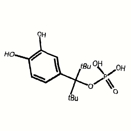 CC(C)(C)C(OP(=O)(O)O)(c1ccc(O)c(O)c1)C(C)(C)C